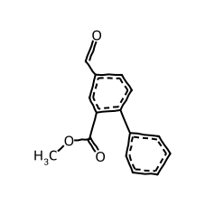 COC(=O)c1cc(C=O)ccc1-c1ccccc1